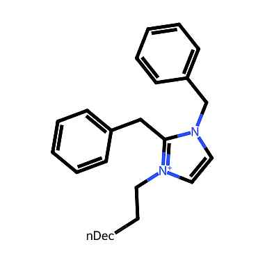 CCCCCCCCCCCC[n+]1ccn(Cc2ccccc2)c1Cc1ccccc1